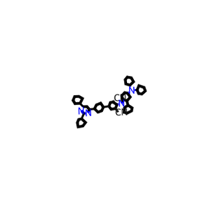 N#Cc1cc(-c2ccc(-c3cc(-c4ccccc4)nc(-c4ccccc4)n3)cc2)cc(C#N)c1-n1c2ccccc2c2cc(N(c3ccccc3)c3ccccc3)ccc21